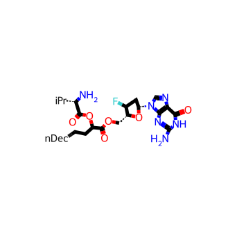 CCCCCCCCCCCCC(OC(=O)[C@@H](N)C(C)C)C(=O)OC[C@H]1O[C@@H](n2cnc3c(=O)[nH]c(N)nc32)CC1F